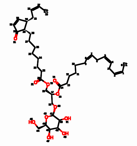 CC/C=C\C/C=C\C/C=C\CCCCCC(=O)O[C@H](COC(=O)CCCCCCC[C@@H]1C(=O)C=C[C@@H]1C/C=C\CC)CO[C@@H]1O[C@H](CO)[C@H](O)C(O)C1O